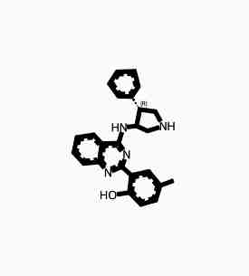 Cc1ccc(O)c(-c2nc(NC3CNC[C@H]3c3ccccc3)c3ccccc3n2)c1